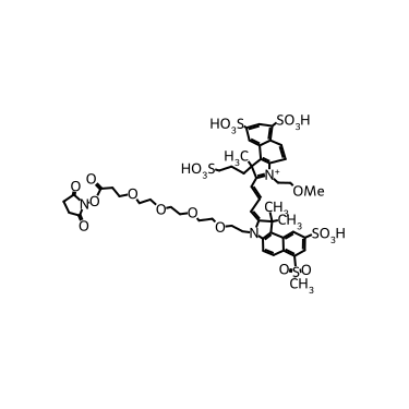 COCC[N+]1=C(/C=C/C=C2/N(CCOCCOCCOCCOCCC(=O)ON3C(=O)CCC3=O)c3ccc4c(S(C)(=O)=O)cc(S(=O)(=O)O)cc4c3C2(C)C)C(C)(CCCS(=O)(=O)O)c2c1ccc1c(S(=O)(=O)O)cc(S(=O)(=O)O)cc21